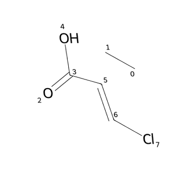 CC.O=C(O)C=CCl